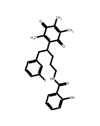 CC1=C(C)C(=O)C(C(CCCNC(=O)c2ccccc2O)Cc2cccc(F)c2)=C(C)C1=O